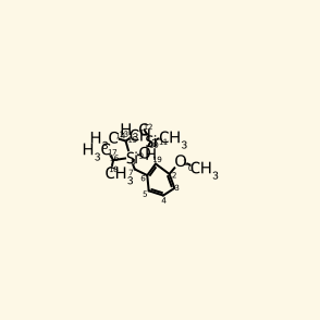 COc1cccc(C[Si](O[SiH](C)C)(C(C)C)C(C)C)c1